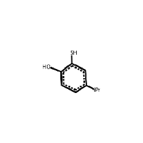 CC(C)c1ccc(O)c(S)c1